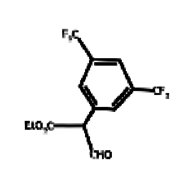 CCOC(=O)C(C=O)c1cc(C(F)(F)F)cc(C(F)(F)F)c1